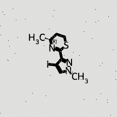 C[C@@H]1CCSC(c2nn(C)cc2I)=N1